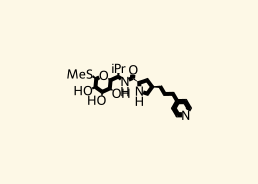 CS[C@H]1O[C@H]([C@H](NC(=O)[C@@H]2C[C@@H](CCCc3ccncc3)CN2)C(C)C)[C@H](O)[C@H](O)[C@H]1O